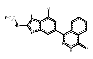 CCOC(=O)Nc1nc2cc(-c3n[nH]c(=O)c4ccccc34)cc(Cl)c2[nH]1